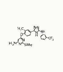 CSc1nc(N)cc(Oc2ccc(-c3nnc(Nc4cccc(C(F)(F)F)c4)[nH]3)cc2C)n1